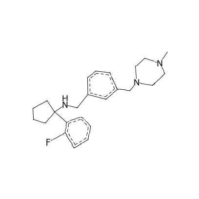 CN1CCN(Cc2cccc(CNC3(c4ccccc4F)CCCC3)c2)CC1